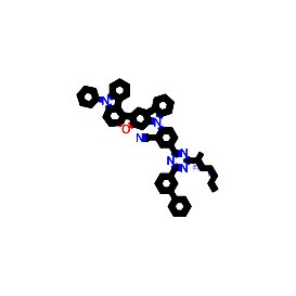 C=C/C=C\C=C(/C)c1nc(-c2cccc(-c3ccccc3)c2)nc(-c2ccc(-n3c4ccccc4c4cc5c(cc43)oc3ccc4c(c6ccccc6n4-c4ccccc4)c35)c(C#N)c2)n1